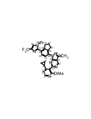 COc1ncnc(C2CC2)c1-c1ncc2c(C)nn(-c3ccc(-c4nc(C(F)(F)F)cn4C(C)C)c4c3CCC4)c2n1